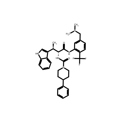 C[C@H](c1c[nH]c2ccccc12)[C@@H](NC(=O)N1CCC(c2ccccc2)CC1)C(=O)Nc1cc(CN(C)C)ccc1C(F)(F)F